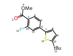 COC(=O)c1ccc(-c2ccc(C(C)(C)C)s2)cc1F